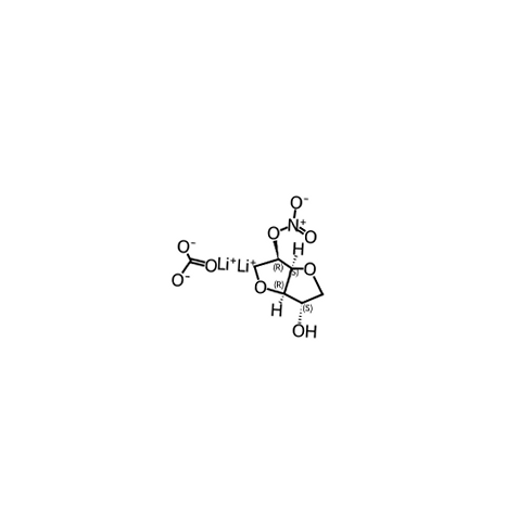 O=C([O-])[O-].O=[N+]([O-])O[C@@H]1CO[C@H]2[C@@H]1OC[C@@H]2O.[Li+].[Li+]